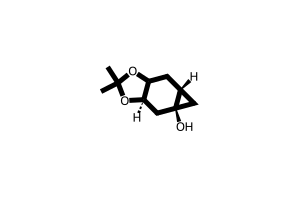 CC1(C)OC2C[C@@H]3C[C@]3(O)C[C@H]2O1